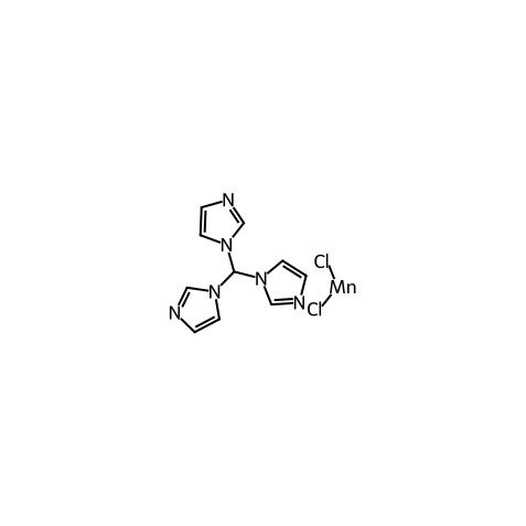 [Cl][Mn][Cl].c1cn(C(n2ccnc2)n2ccnc2)cn1